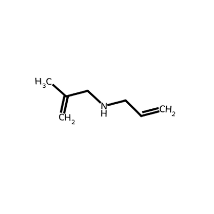 C=CCNCC(=C)C